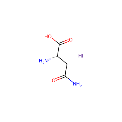 I.NC(=O)C[C@H](N)C(=O)O